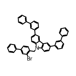 Brc1cc(-c2ccccc2)ccc1Cn1c2ccc(-c3cccc(-c4ccccc4)c3)cc2c2cc(-c3cccc(-c4ccccc4)c3)ccc21